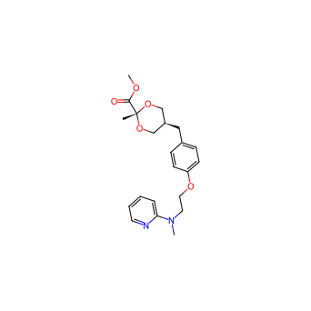 COC(=O)[C@]1(C)OC[C@@H](Cc2ccc(OCCN(C)c3ccccn3)cc2)CO1